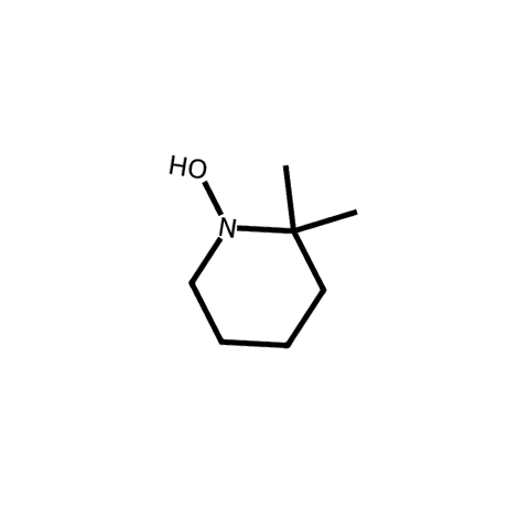 CC1(C)CCCCN1O